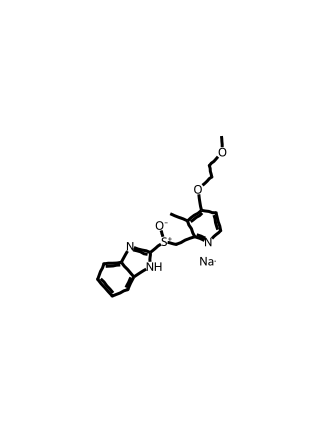 COCCOc1ccnc(C[S+]([O-])c2nc3ccccc3[nH]2)c1C.[Na]